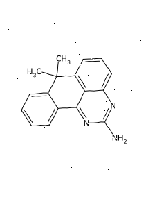 CC1(C)c2ccccc2-c2nc(N)nc3cccc1c23